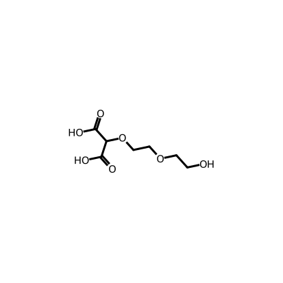 O=C(O)C(OCCOCCO)C(=O)O